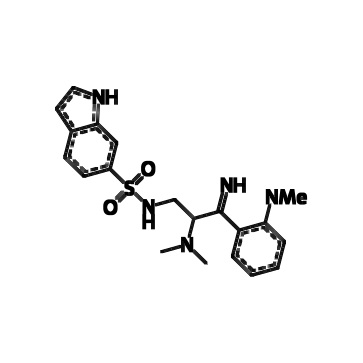 CNc1ccccc1C(=N)C(CNS(=O)(=O)c1ccc2cc[nH]c2c1)N(C)C